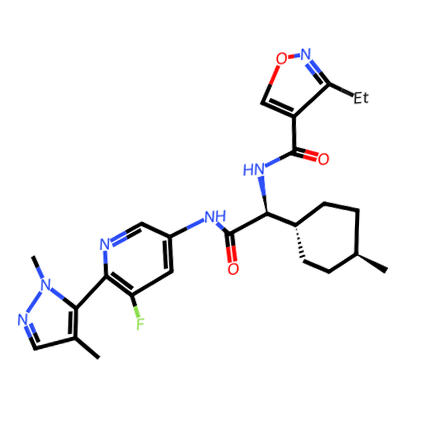 CCc1nocc1C(=O)N[C@H](C(=O)Nc1cnc(-c2c(C)cnn2C)c(F)c1)[C@H]1CC[C@H](C)CC1